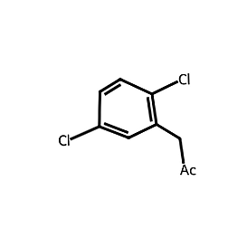 CC(=O)Cc1cc(Cl)ccc1Cl